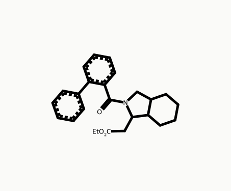 CCOC(=O)CC1C2CCCCC2CN1C(=O)c1ccccc1-c1ccccc1